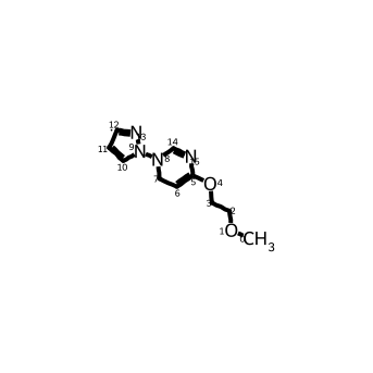 COCCOC1=CCN(n2cc[c]n2)C=N1